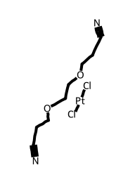 N#CCCOCCOCCC#N.[Cl][Pt][Cl]